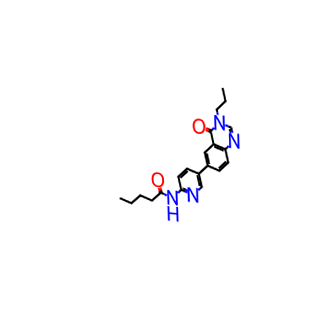 CCCCC(=O)Nc1ccc(-c2ccc3ncn(CCC)c(=O)c3c2)cn1